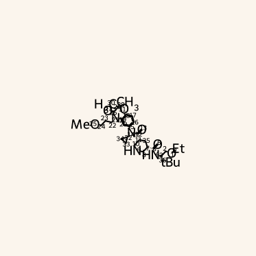 CCOC[C@@H](NC(=O)[C@@H]1CNC[C@H](C(=O)N(c2ccc3c(c2)N(CCCOC)C(=O)C(C)(C)O3)C2CC2)C1)C(C)(C)C